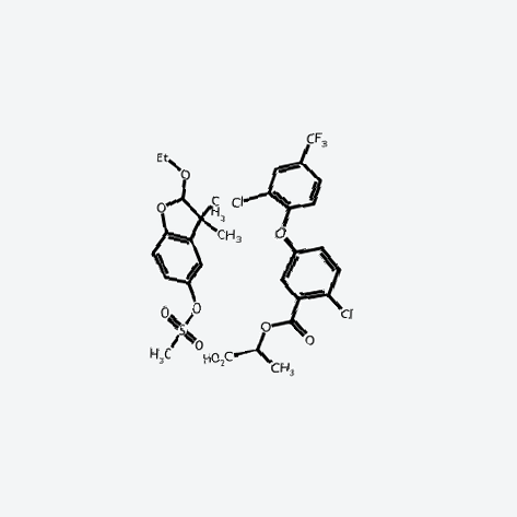 CCOC1Oc2ccc(OS(C)(=O)=O)cc2C1(C)C.C[C@H](OC(=O)c1cc(Oc2ccc(C(F)(F)F)cc2Cl)ccc1Cl)C(=O)O